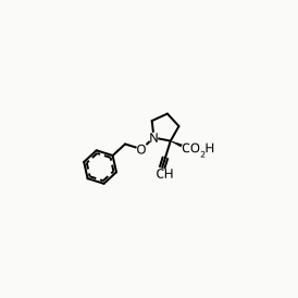 C#C[C@@]1(C(=O)O)CCCN1OCc1ccccc1